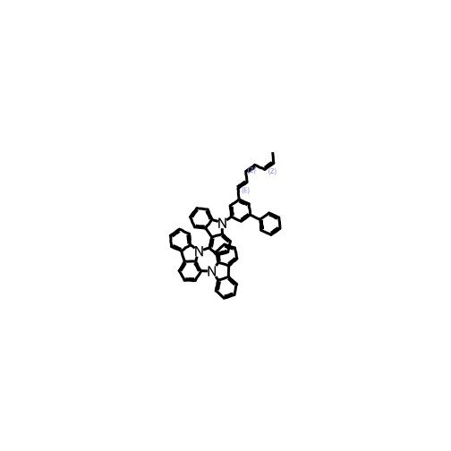 C\C=C/C=C\C=C\c1cc(-c2ccccc2)cc(-n2c3ccccc3c3c(-n4c5ccccc5c5cccc(-n6c7ccccc7c7ccccc76)c54)cccc32)c1